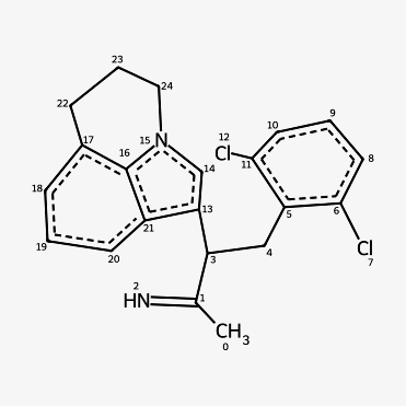 CC(=N)C(Cc1c(Cl)cccc1Cl)c1cn2c3c(cccc13)CCC2